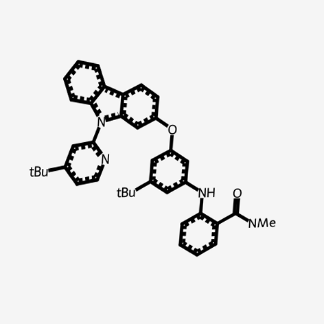 CNC(=O)c1ccccc1Nc1cc(Oc2ccc3c4ccccc4n(-c4cc(C(C)(C)C)ccn4)c3c2)cc(C(C)(C)C)c1